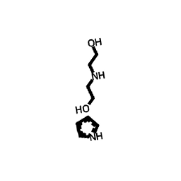 OCCNCCO.c1cc[nH]c1